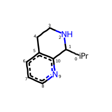 CC(C)C1NCCc2cccnc21